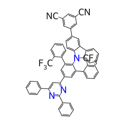 N#Cc1cc(C#N)cc(-c2ccc3c(c2)c2ccccc2n3-c2c(-c3ccccc3C(F)(F)F)cc(-c3cc(-c4ccccc4)nc(-c4ccccc4)n3)cc2-c2ccccc2C(F)(F)F)c1